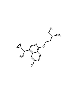 CCSC(C)CCOc1ncc(C(N)C2CC2)c2cc(Cl)ncc12